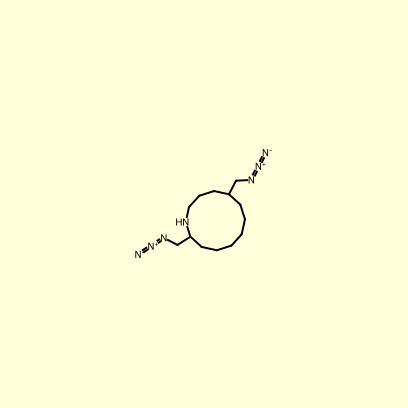 [N-]=[N+]=NCC1CCCCCCC(CN=[N+]=[N-])NCCC1